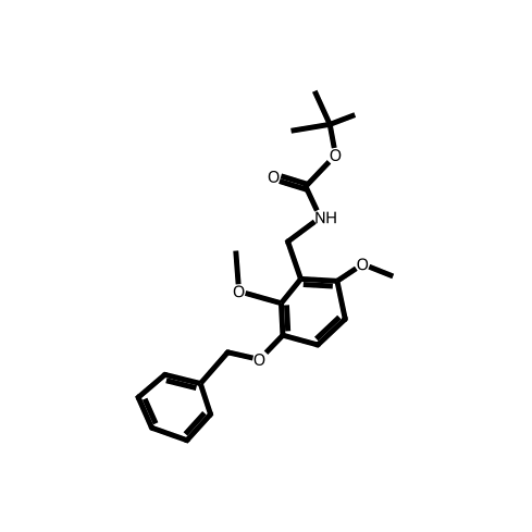 COc1ccc(OCc2ccccc2)c(OC)c1CNC(=O)OC(C)(C)C